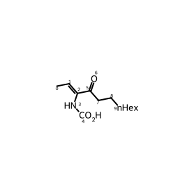 C/C=C(\NC(=O)O)C(=O)CCCCCCCC